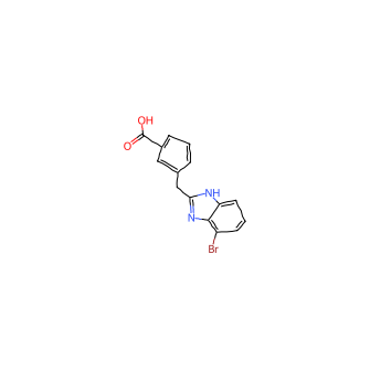 O=C(O)c1cccc(Cc2nc3c(Br)cccc3[nH]2)c1